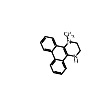 CN1CCNc2c1c1ccccc1c1ccccc21